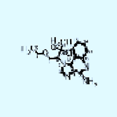 CCOCC(n1cnc2c(N)nc3ccccc3c21)C(C)(C)O